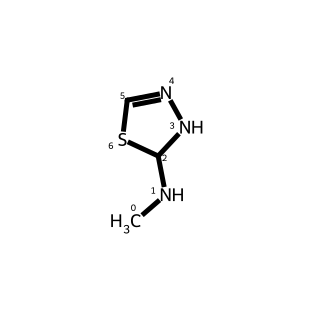 CNC1NN=CS1